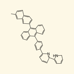 Cc1ccc2ccc(-c3c4ccccc4c(-c4ccc(-c5cccc(C6=CC=CCN6)n5)cc4)c4ccccc34)cc2c1